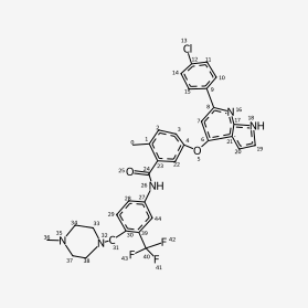 Cc1ccc(Oc2cc(-c3ccc(Cl)cc3)nc3[nH]ccc23)cc1C(=O)Nc1ccc(CN2CCN(C)CC2)c(C(F)(F)F)c1